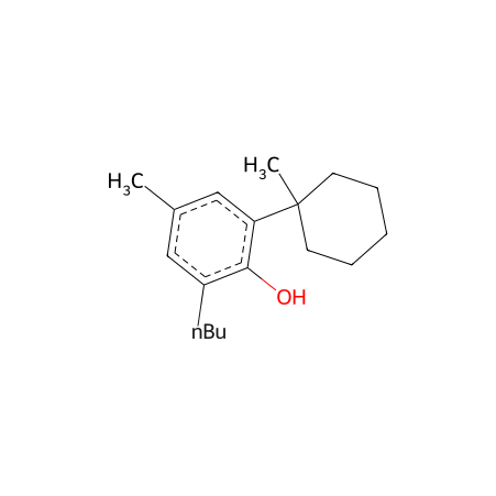 CCCCc1cc(C)cc(C2(C)CCCCC2)c1O